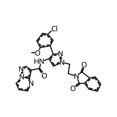 COc1ccc(Cl)cc1-c1nn(CCN2C(=O)c3ccccc3C2=O)cc1NC(=O)c1cnn2cccnc12